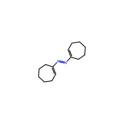 C1=C(N=NC2=CCCCCC2)CCCCC1